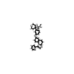 CN(C)S(=O)(=O)C1(c2cccc(Sc3ccc4c(ccc5nnc(-c6ccccn6)n54)c3)c2)CCOCC1